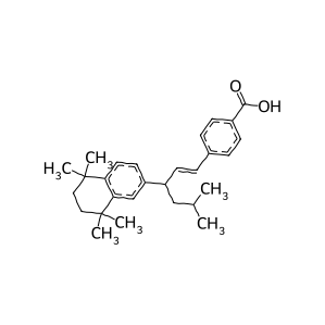 CC(C)CC(C=Cc1ccc(C(=O)O)cc1)c1ccc2c(c1)C(C)(C)CCC2(C)C